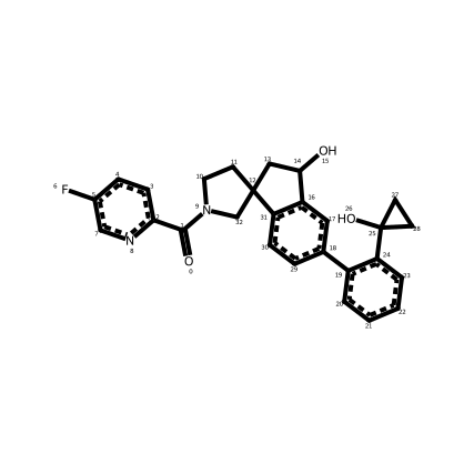 O=C(c1ccc(F)cn1)N1CCC2(CC(O)c3cc(-c4ccccc4C4(O)CC4)ccc32)C1